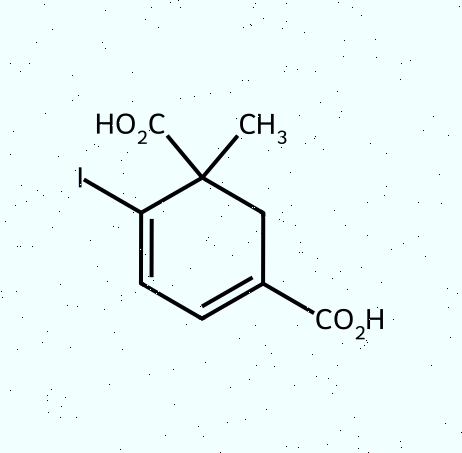 CC1(C(=O)O)CC(C(=O)O)=CC=C1I